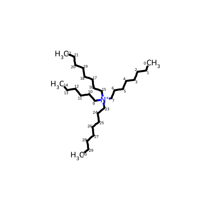 CCCCCCCC[N+](CCCCCC)(CCCCCCCC)CCCCCCCC